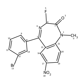 CN1C(=O)C(F)N=C(c2cccc(Br)c2)c2cc([N+](=O)[O-])ccc21